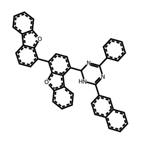 c1ccc(C2=NC(c3ccc(-c4cccc5c4oc4ccccc45)c4oc5ccccc5c34)NC(c3ccc4ccccc4c3)=N2)cc1